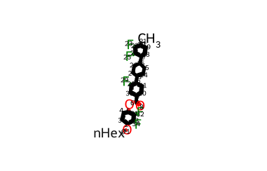 CCCCCCOc1ccc(OC(=O)c2ccc(C3=CCC(c4ccc(C)c(F)c4F)CC3)c(F)c2)c(F)c1F